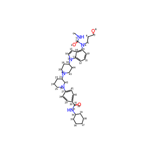 CNC(=O)N(CCC=O)c1cccc2c1ccn2C1CCN(C2CCCN(c3ccc(C(=O)NC4CCCCC4)cc3)C2)CC1